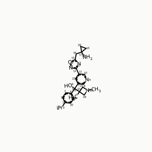 CC(C)c1ccc([C@](O)(c2cncc(-c3noc(CC4(N)CC4)n3)c2)C2(C)CN(C)C2)cc1